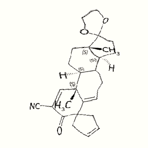 C[C@]12C=C(C#N)C(=O)C3(CC=CC3)C1=CCC1[C@@H]2CC[C@@]2(C)[C@H]1CCC21OCCO1